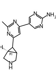 Cc1nc(-c2cnc(N)nc2)cc(C2C3CNC[C@H]32)n1